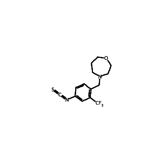 FC(F)(F)c1cc(N=C=S)ccc1CN1CCCOCC1